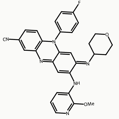 [C-]#[N+]c1ccc2c(c1)nc1cc(Nc3cccnc3OC)/c(=N/C3CCOCC3)cc-1n2-c1ccc(F)cc1